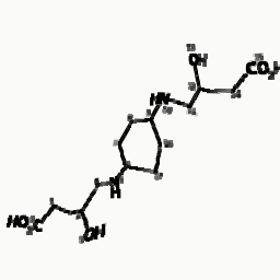 O=C(O)CC(O)CNC1CCC(NCC(O)CC(=O)O)CC1